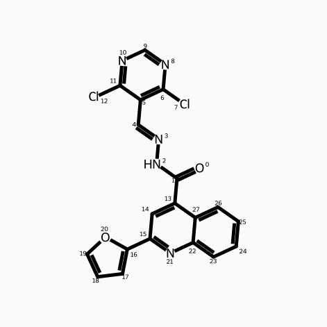 O=C(N/N=C/c1c(Cl)ncnc1Cl)c1cc(-c2ccco2)nc2ccccc12